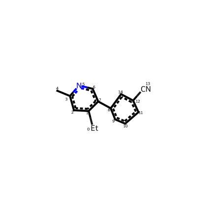 CCc1cc(C)ncc1-c1cccc(C#N)c1